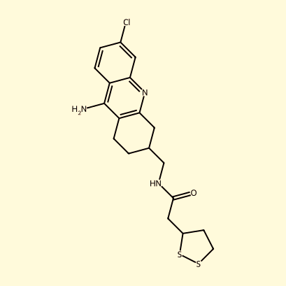 Nc1c2c(nc3cc(Cl)ccc13)CC(CNC(=O)CC1CCSS1)CC2